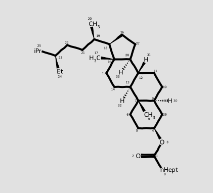 CCCCCCCC(=O)O[C@H]1CC[C@@]2(C)[C@@H](CC[C@@H]3[C@@H]2CC[C@]2(C)[C@@H]([C@H](C)CC[C@@H](CC)C(C)C)CC[C@@H]32)C1